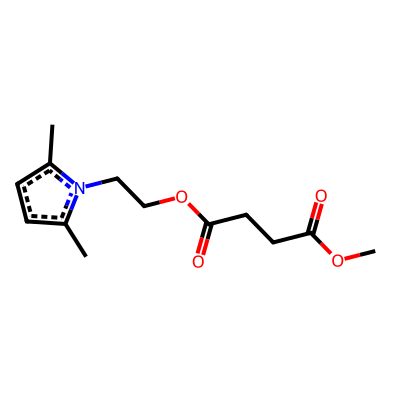 COC(=O)CCC(=O)OCCn1c(C)ccc1C